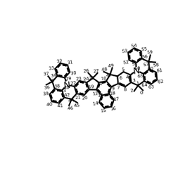 CC1(C)C2=C(CC3C(=C2)c2c(c4c(c5ccccc25)-c2cc5c(cc2C4(C)C)N2c4ccccc4C(C)(C)c4cccc(c42)C5(C)C)C3(C)C)N2c3ccccc3C(C)(C)c3cccc1c32